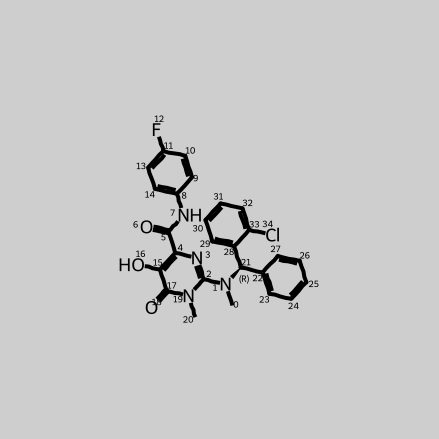 CN(c1nc(C(=O)Nc2ccc(F)cc2)c(O)c(=O)n1C)[C@H](c1ccccc1)c1ccccc1Cl